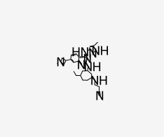 CCC1CCC(NCCC#N)CC(Nc2nc(Nc3cc(C)[nH]n3)c3ccc(C4CN(C)C4)cc3n2)C1